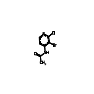 CC(=O)Nc1ccnc(Cl)c1Br